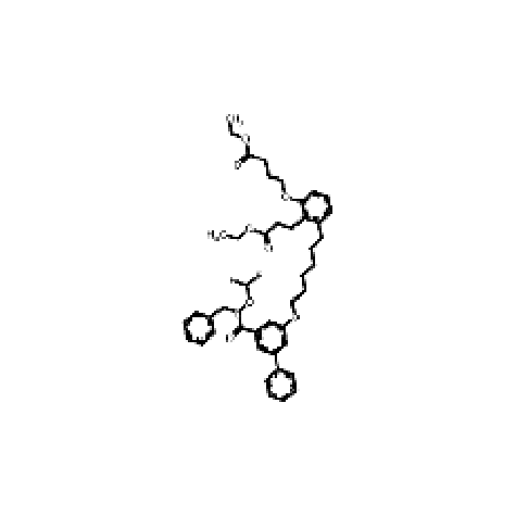 CCOC(=O)CCCOc1cccc(CCCCCCOc2cc(C(=O)N(Cc3ccccc3)OC(F)F)cc(-c3ccccc3)c2)c1CCC(=O)OCC